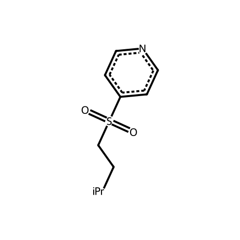 CC(C)CCS(=O)(=O)c1ccncc1